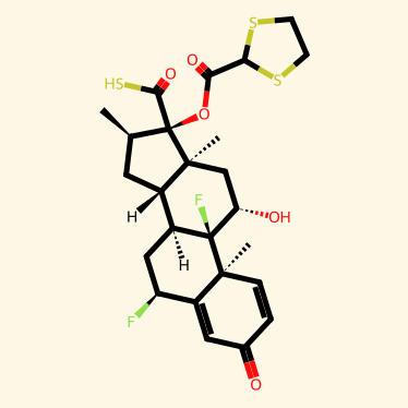 C[C@@H]1C[C@H]2[C@@H]3C[C@H](F)C4=CC(=O)C=C[C@]4(C)[C@@]3(F)[C@@H](O)C[C@]2(C)[C@@]1(OC(=O)C1SCCS1)C(=O)S